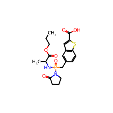 CCCOC(=O)C(C)NP(=O)(Cc1ccc2sc(C(=O)O)cc2c1)N1CCCC1=O